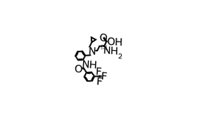 N[C@@H](CCN(Cc1ccccc1NC(=O)c1cccc(C(F)(F)F)c1)CC1CC1)C(=O)O